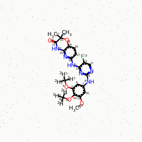 [2H]C([2H])([2H])Oc1cc(Nc2ncc(F)c(Nc3ccc4c(n3)NC(=O)C(C)(C)O4)n2)cc(OC)c1OC([2H])([2H])[2H]